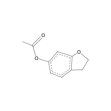 CC(=O)Oc1ccc2c(c1)OCC2